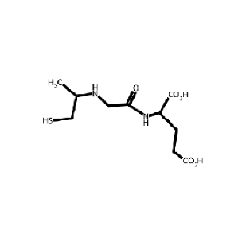 CC(CS)NCC(=O)NC(CCC(=O)O)C(=O)O